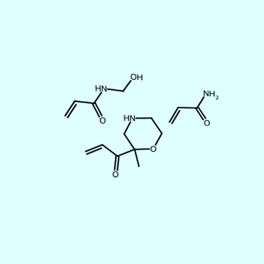 C=CC(=O)C1(C)CNCCO1.C=CC(=O)NCO.C=CC(N)=O